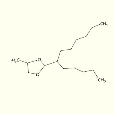 [CH2]C1COC(C(CCCCC)CCCCCC)O1